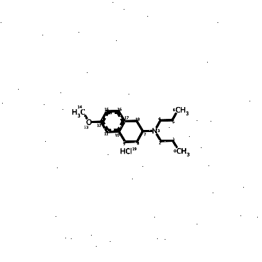 CCCN(CCC)C1CCc2cc(OC)ccc2C1.Cl